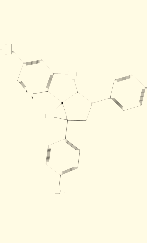 Clc1cnc2c(c1)OC1C(c3ccccc3)CC3(c4ccc(Br)cc4)OC213